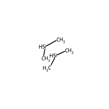 C[SiH]C.C[SiH]C